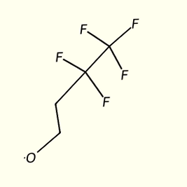 [O]CCC(F)(F)C(F)(F)F